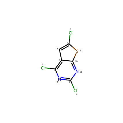 Clc1nc(Cl)c2cc(Cl)sc2n1